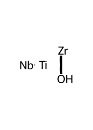 [Nb].[OH][Zr].[Ti]